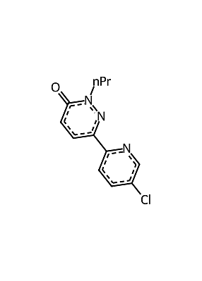 CCCn1nc(-c2ccc(Cl)cn2)ccc1=O